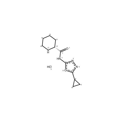 Cl.O=C(Nc1nnc(C2CC2)o1)[C@H]1CCCCN1